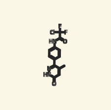 Cc1cc(=O)[nH]nc1-c1ccc(NC(=O)C(F)(F)Cl)cc1